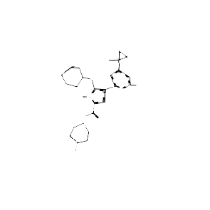 Cn1c(C(=O)N[C@H]2CC[C@H](C(=O)O)CC2)cc(-c2cc(C(C)(C)C)cc(C3(C)CC3)c2)c1CC1CCCCC1